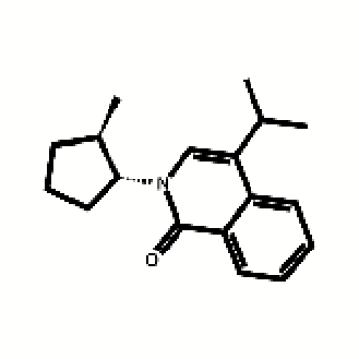 CC(C)c1cn([C@@H]2CCC[C@H]2C)c(=O)c2ccccc12